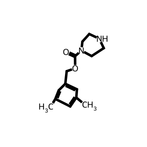 Cc1cc(C)cc(COC(=O)N2CCNCC2)c1